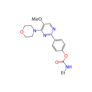 CCNC(=O)Oc1ccc(-c2ncc(OC)c(N3CCOCC3)n2)cc1